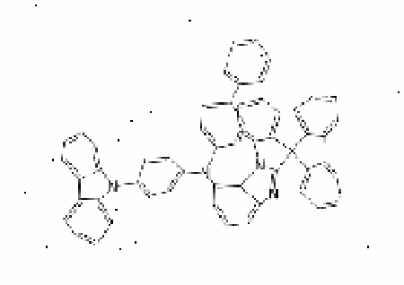 c1ccc(-c2ccc(N(c3ccc(-n4c5ccccc5c5ccccc54)cc3)c3cccc4nc5n(c34)-c3ccccc3C53c4ccccc4-c4ccccc43)cc2)cc1